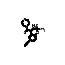 CC1(C)C=C(C(=O)N2CC[N]CC2)c2cc(C#N)ccc2O1